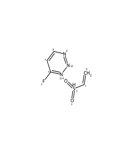 C=C[SH](=O)=O.Fc1ccnnn1